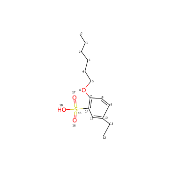 CCCCCCOc1ccc(CC)cc1S(=O)(=O)O